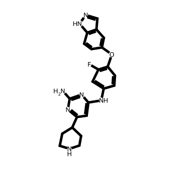 Nc1nc(Nc2ccc(Oc3ccc4[nH]ncc4c3)c(F)c2)cc(C2CCNCC2)n1